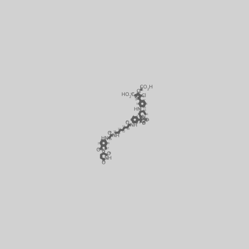 CC1(c2cccc(NC(=O)CCCCCCNC(=O)CNc3ccc4c(c3)CN(C3CCC(=O)NC3=O)C4=O)c2)C2CC(Nc3cccc(-c4sc(C(=O)O)c(OCC(=O)O)c4Cl)c3)CCN2S1(=O)=O